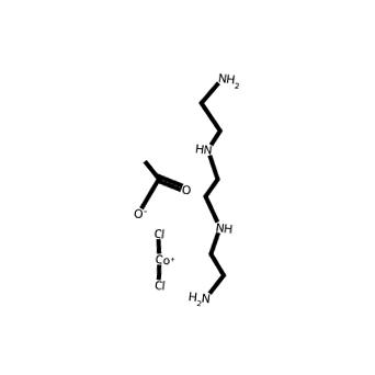 CC(=O)[O-].NCCNCCNCCN.[Cl][Co+][Cl]